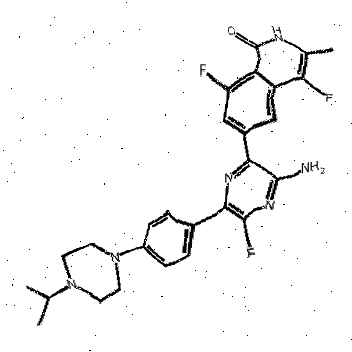 Cc1[nH]c(=O)c2c(F)cc(-c3nc(-c4ccc(N5CCN(C(C)C)CC5)cc4)c(F)nc3N)cc2c1F